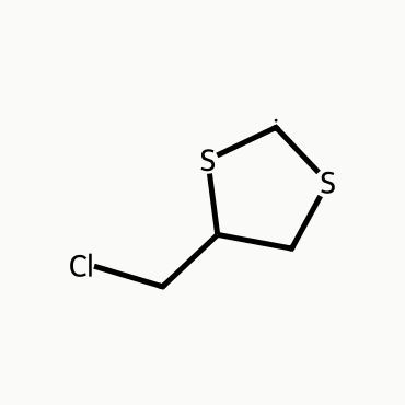 ClCC1CS[CH]S1